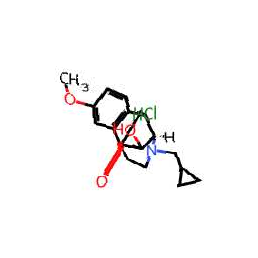 COc1ccc2c(c1)[C@]13CCN(CC4CC4)[C@H](C2)C1(O)CCC(=O)C3.Cl